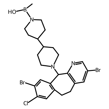 CB(O)N1CCC(C2CCN(C3c4cc(Br)c(Cl)cc4CCc4cc(Br)cnc43)CC2)CC1